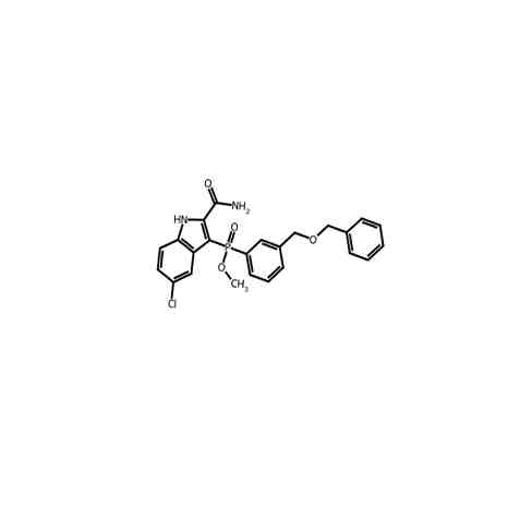 COP(=O)(c1cccc(COCc2ccccc2)c1)c1c(C(N)=O)[nH]c2ccc(Cl)cc12